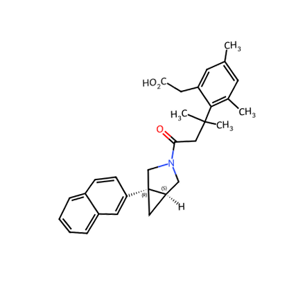 Cc1cc(C)c(C(C)(C)CC(=O)N2C[C@H]3C[C@@]3(c3ccc4ccccc4c3)C2)c(CC(=O)O)c1